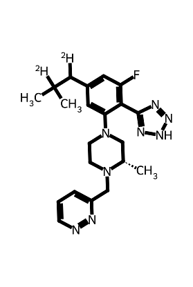 [2H]C(c1cc(F)c(-c2nn[nH]n2)c(N2CCN(Cc3cccnn3)[C@@H](C)C2)c1)C([2H])(C)C